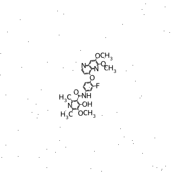 COc1cc2nccc(Oc3ccc(NC(=O)c4c(C)nc(C)c(OC)c4O)cc3F)c2nc1OC